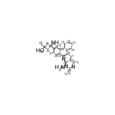 C/C=C1/N=C(C)c2cc(-c3ccccc3)c(-c3ccc([C@]4(N)C[C@](C)(O)C4)cc3)nc2N1N